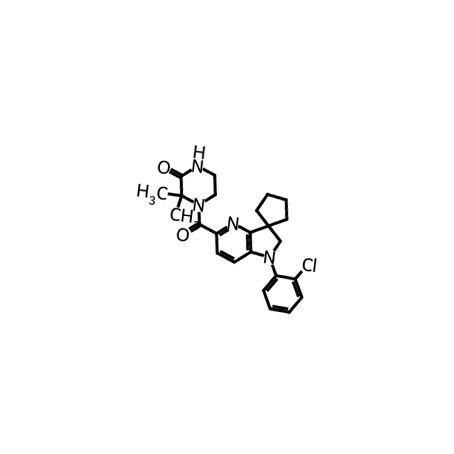 CC1(C)C(=O)NCCN1C(=O)c1ccc2c(n1)C1(CCCC1)CN2c1ccccc1Cl